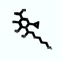 CCCCOCC(C)N1C(N)=C(Cl)C(C(=O)O)=NC1C1CC1